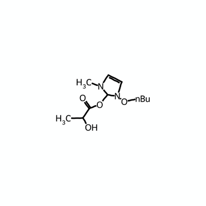 CCCCON1C=CN(C)C1OC(=O)C(C)O